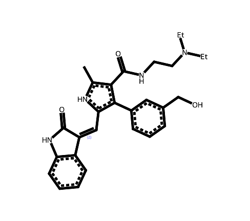 CCN(CC)CCNC(=O)c1c(C)[nH]c(/C=C2\C(=O)Nc3ccccc32)c1-c1cccc(CO)c1